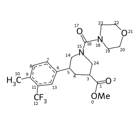 COC(=O)C1CC(c2ccc(C)c(C(F)(F)F)c2)CN(C(=O)N2CCOCC2)C1